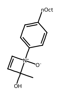 CCCCCCCCc1ccc([N+]2([O-])C=CC2(C)O)cc1